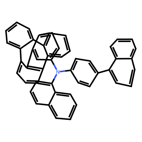 c1ccc2c(c1)-c1cccc3c1-c1cc(N(c4ccc(-c5cccc6ccccc56)cc4)c4cccc5ccccc45)ccc1-c1cccc-3c1-2